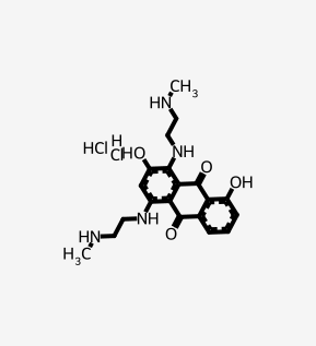 CNCCNc1cc(O)c(NCCNC)c2c1C(=O)c1cccc(O)c1C2=O.Cl.Cl